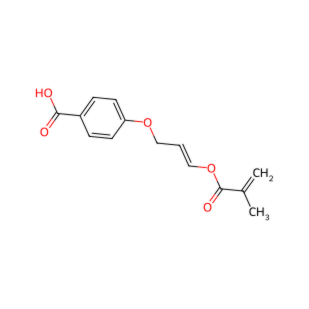 C=C(C)C(=O)OC=CCOc1ccc(C(=O)O)cc1